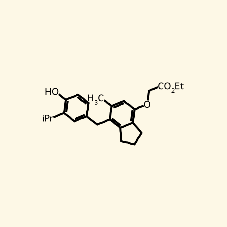 CCOC(=O)COc1cc(C)c(Cc2ccc(O)c(C(C)C)c2)c2c1CCC2